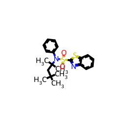 CC(C)(C)CC(C)(C)N(c1ccccc1)S(=O)(=O)c1nc2ccccc2s1